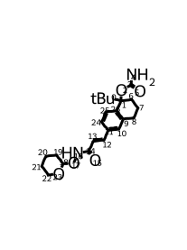 CC(C)(C)C1(OC(N)=O)CCCc2cc(C=CC(=O)NOC3CCCCO3)ccc21